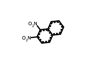 O=[N+]([O-])c1ccc2ccccc2c1[N+](=O)[O-]